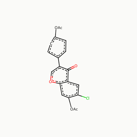 CC(=O)Oc1ccc(-c2coc3cc(OC(C)=O)c(Cl)cc3c2=O)cc1